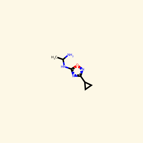 CC(N)Nc1nc(C2CC2)no1